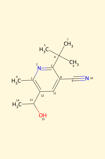 Cc1nc(C(C)(C)C)c(C#N)cc1C(C)O